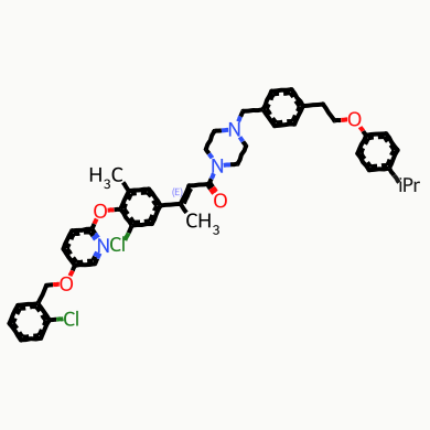 C/C(=C\C(=O)N1CCN(Cc2ccc(CCOc3ccc(C(C)C)cc3)cc2)CC1)c1cc(C)c(Oc2ccc(OCc3ccccc3Cl)cn2)c(Cl)c1